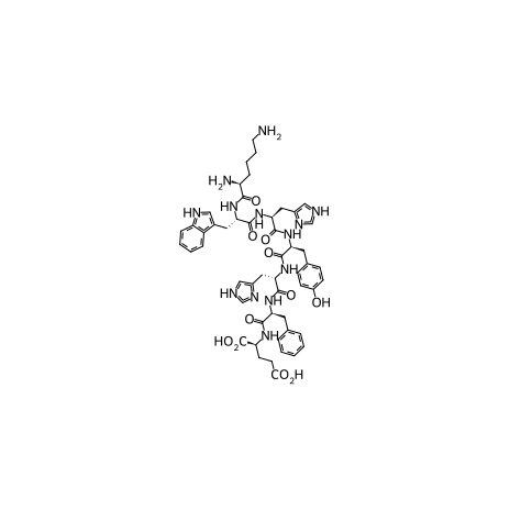 NCCCC[C@H](N)C(=O)N[C@@H](Cc1c[nH]c2ccccc12)C(=O)N[C@@H](Cc1c[nH]cn1)C(=O)N[C@@H](Cc1ccc(O)cc1)C(=O)N[C@@H](Cc1c[nH]cn1)C(=O)N[C@@H](Cc1ccccc1)C(=O)N[C@@H](CCC(=O)O)C(=O)O